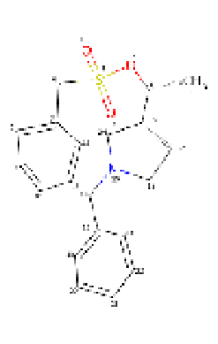 C[C@@H](OS(=O)(=O)Cc1ccccc1)[C@@H]1CCN(Cc2ccccc2)C1